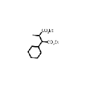 CCOC(=O)C(C)C(C(=O)OCC)C1CCCCC1